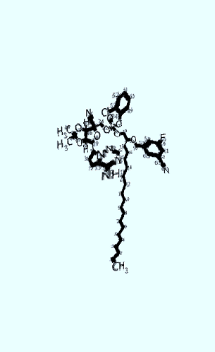 CCCCCCCCCCCCCCCCCC[C@@H](COP(=O)(OC[C@@]1(C#N)O[C@@H](c2ccc3c(N)ncnn23)[C@@H]2OC(C)(C)O[C@@H]21)Oc1ccccc1Cl)OCc1cc(F)cc(C#N)c1